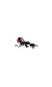 COc1cc(C(=O)N2C[C@H]3CC[C@@H]2[C@@H]3N)cc2nc(-c3cc4ccc(-c5ccc6c(=O)[nH]ccc6c5)cc4n3CC3CC3)n(C)c12